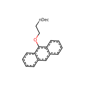 CCCCCCCCCCCCOc1c2ccccc2cc2ccccc12